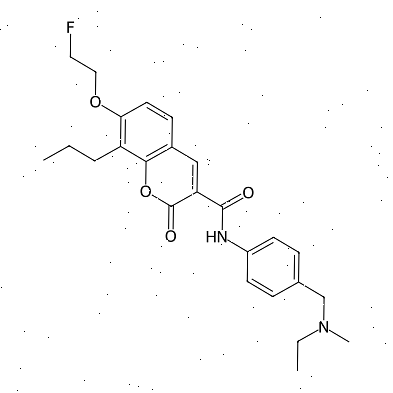 CCCc1c(OCCF)ccc2cc(C(=O)Nc3ccc(CN(C)CC)cc3)c(=O)oc12